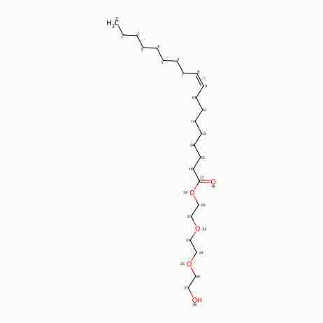 CCCCCCCC/C=C\CCCCCCCC(=O)OCCOCCOCCO